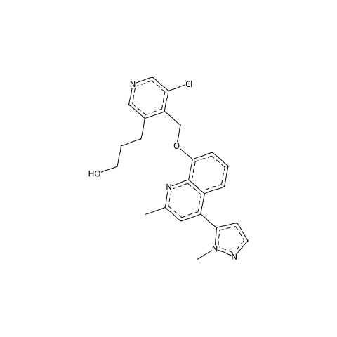 Cc1cc(-c2ccnn2C)c2cccc(OCc3c(Cl)cncc3CCCO)c2n1